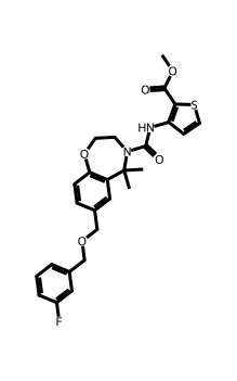 COC(=O)c1sccc1NC(=O)N1CCOc2ccc(COCc3cccc(F)c3)cc2C1(C)C